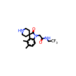 Cc1ccc2c(c1C)C1(CCNCC1)C(=O)N2CC(=O)NCC(F)(F)F